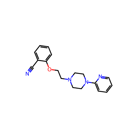 N#Cc1ccccc1OCCN1CCN(c2ccccn2)CC1